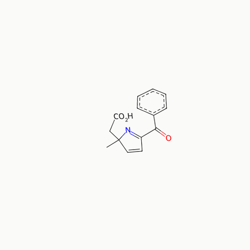 CC1(CC(=O)O)C=CC(C(=O)c2ccccc2)=N1